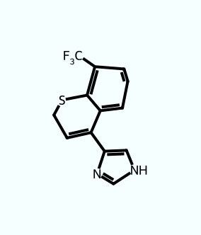 FC(F)(F)c1cccc2c1SCC=C2c1c[nH]cn1